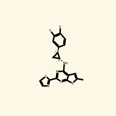 Cc1cc2c(N[C@@H]3C[C@H]3c3ccc(F)c(F)c3)nc(-c3nccs3)nc2s1